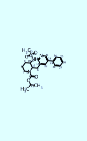 CC(C)OC(=O)N1CCCC(NS(C)(=O)=O)C1Cc1cncc(-c2ccccc2)c1